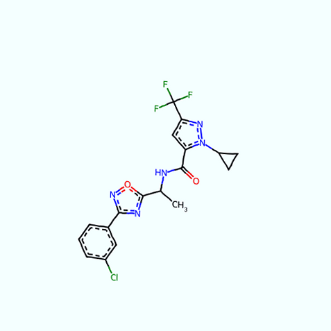 CC(NC(=O)c1cc(C(F)(F)F)nn1C1CC1)c1nc(-c2cccc(Cl)c2)no1